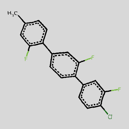 Cc1ccc(-c2ccc(-c3ccc(Cl)c(F)c3)c(F)c2)c(F)c1